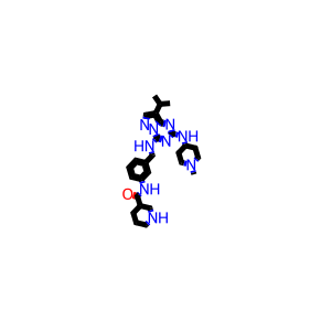 CC(C)c1cnn2c(NCc3cccc(NC(=O)C4CCCNC4)c3)nc(NC3CCN(C)CC3)nc12